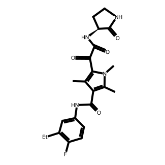 CCc1cc(NC(=O)c2c(C)c(C(=O)C(=O)N[C@H]3CCNC3=O)n(C)c2C)ccc1F